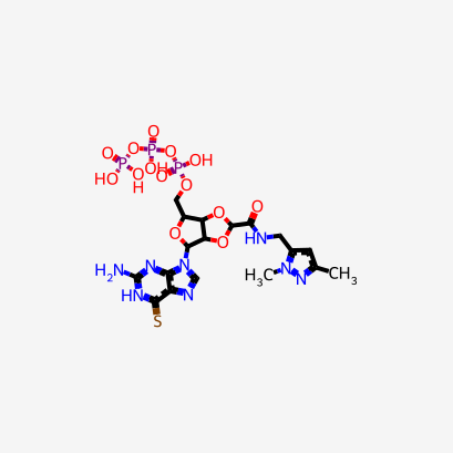 Cc1cc(CNC(=O)C2OC3C(COP(=O)(O)OP(=O)(O)OP(=O)(O)O)OC(n4cnc5c(=S)[nH]c(N)nc54)C3O2)n(C)n1